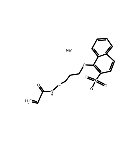 C=CC(=O)NCCCCOc1c(S(=O)(=O)[O-])ccc2ccccc12.[Na+]